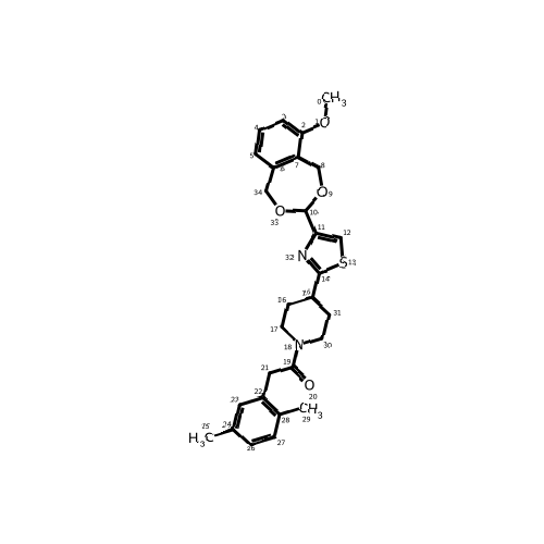 COc1cccc2c1COC(c1csc(C3CCN(C(=O)Cc4cc(C)ccc4C)CC3)n1)OC2